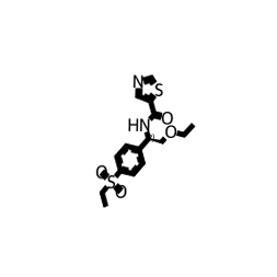 CCOC[C@H](NC(=O)c1cncs1)c1ccc(S(=O)(=O)CC)cc1